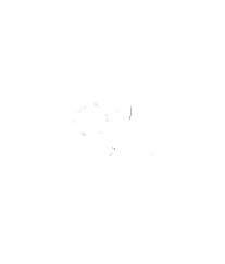 C=C(COC)c1ccccc1Cl